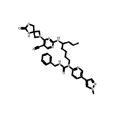 CCCC(CCCCN(C(=O)NCc1ccccc1)c1ccc(-c2cnn(C)c2)cn1)Nc1ncc(C#N)c(N2CC3(COC(=O)N3)C2)n1